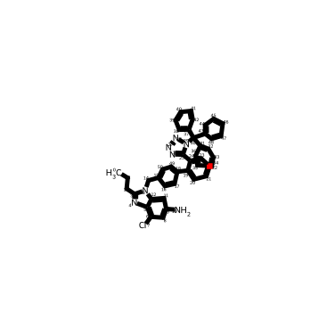 CCCc1nc2c(Cl)cc(N)cc2n1Cc1ccc(-c2ccccc2-c2nnnn2C(c2ccccc2)(c2ccccc2)c2ccccc2)cc1